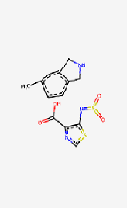 Cc1ccc2c(c1)CNC2.O=C(O)c1ncsc1N=S(=O)=O